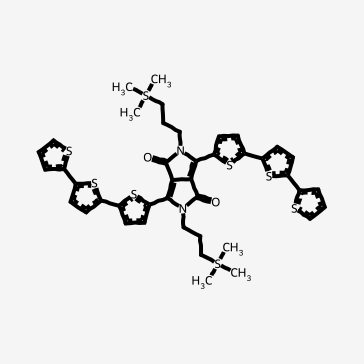 CS(C)(C)CCCN1C(=O)C2=C(c3ccc(-c4ccc(-c5cccs5)s4)s3)N(CCCS(C)(C)C)C(=O)C2=C1c1ccc(-c2ccc(-c3cccs3)s2)s1